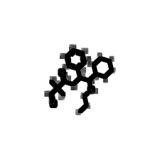 CCCOC(C1CCCCC1)C(CC(=O)C(C)(C)[C]=O)c1ccccc1